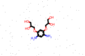 Nc1cc(N)c(OCC(O)CO)cc1OCC(O)CO